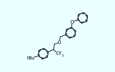 CC(C)(C)c1ccc(C(COCc2cccc(Oc3ccccc3)c2)C(F)(F)F)cc1